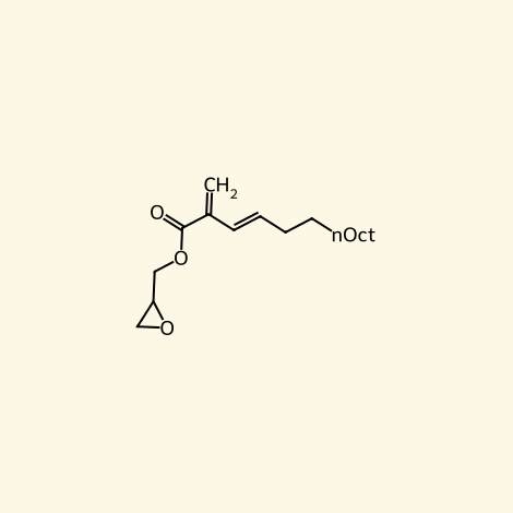 C=C(C=CCCCCCCCCCC)C(=O)OCC1CO1